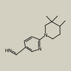 CC1CCN(c2ccc(C=N)cn2)CC1(C)C